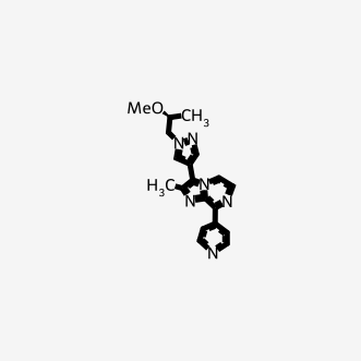 CO[C@@H](C)Cn1cc(-c2c(C)nc3c(-c4ccncc4)nccn23)cn1